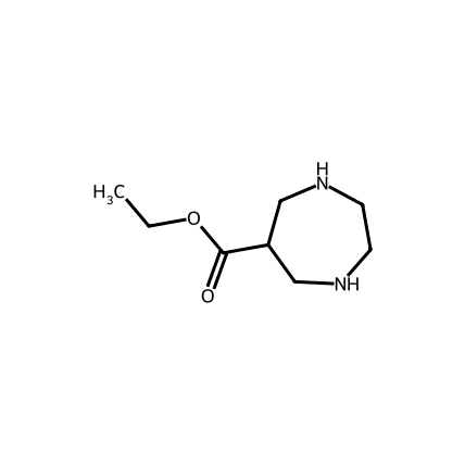 CCOC(=O)C1CNCCNC1